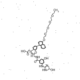 CCCOCCOCCOCCOCCOc1ccc(-c2ccc([C@H](CC(=O)O)NC(=O)CNC(=O)c3cc(O)cc(NC4=NCC(O)CN4)c3)cc2)c2ccccc12